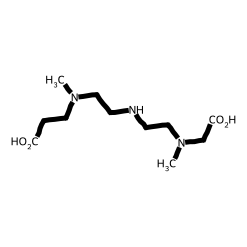 CN(CCNCCN(C)CC(=O)O)CCC(=O)O